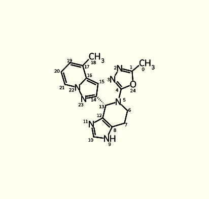 Cc1nnc(N2CCc3[nH]cnc3[C@@H]2c2cc3c(C)cccn3n2)o1